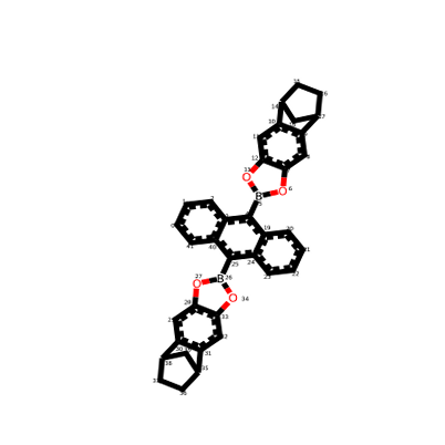 c1ccc2c(B3Oc4cc5c(cc4O3)C3CCC5C3)c3ccccc3c(B3Oc4cc5c(cc4O3)C3CCC5C3)c2c1